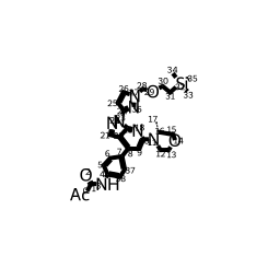 CC(=O)C(=O)Nc1ccc(-c2cc(N3CCOC[C@H]3C)nc3c2cnn3-c2ccn(COCC[Si](C)(C)C)n2)cc1